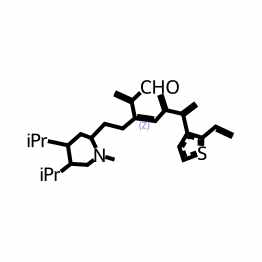 C=Cc1sccc1C(=C)C(=C)/C=C(/CCC1CC(C(C)C)C(C(C)C)CN1C)C(=C)C=O